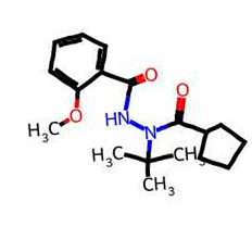 COc1ccccc1C(=O)NN(C(=O)C1CCCC1)C(C)(C)C